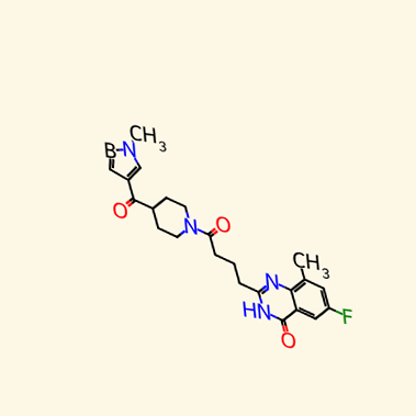 Cc1cc(F)cc2c(=O)[nH]c(CCCC(=O)N3CCC(C(=O)c4cbn(C)c4)CC3)nc12